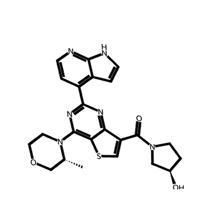 C[C@@H]1COCCN1c1nc(-c2ccnc3[nH]ccc23)nc2c(C(=O)N3CC[C@@H](O)C3)csc12